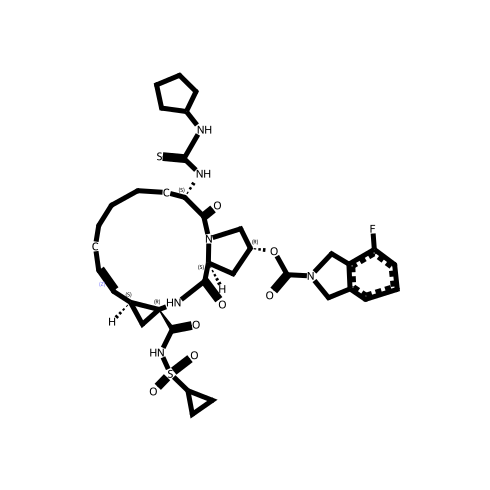 O=C1N[C@]2(C(=O)NS(=O)(=O)C3CC3)C[C@H]2/C=C\CCCCC[C@H](NC(=S)NC2CCCC2)C(=O)N2C[C@H](OC(=O)N3Cc4cccc(F)c4C3)C[C@@H]12